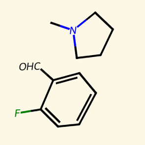 CN1CCCC1.O=Cc1ccccc1F